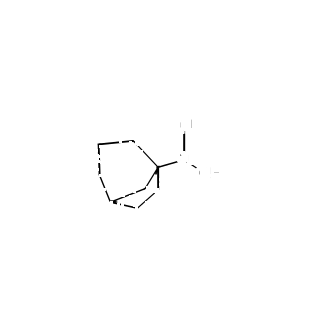 CN(C)C12CCCC(CC1)C2